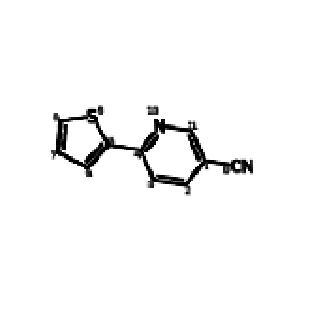 N#Cc1ccc(-c2cccs2)nc1